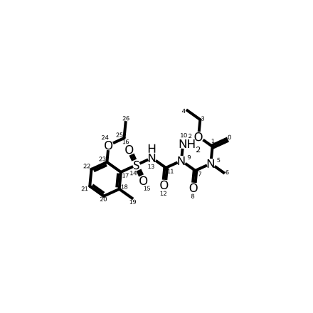 C=C(OCC)N(C)C(=O)N(N)C(=O)NS(=O)(=O)c1c(C)cccc1OCC